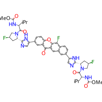 COC(=O)NC(C(=O)N1C[C@H](F)C[C@H]1c1ncc(-c2ccc3c(F)c4oc5ccc(-c6cnc([C@@H]7C[C@@H](F)CN7C(=O)C(NC(=O)OC)C(C)C)[nH]6)cc5c(=O)c4cc3c2)[nH]1)C(C)C